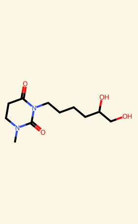 CN1CCC(=O)N(CCCCC(O)CO)C1=O